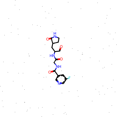 O=CC(CC1CCNC1=O)NC(=O)CNC(=O)c1cncc(F)c1